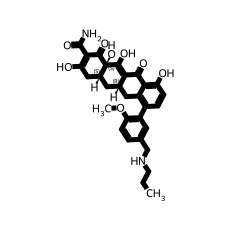 CCCNCc1ccc(OC)c(-c2ccc(O)c3c2C[C@H]2C[C@H]4CC(O)=C(C(N)=O)C(=O)[C@@]4(O)C(O)=C2C3=O)c1